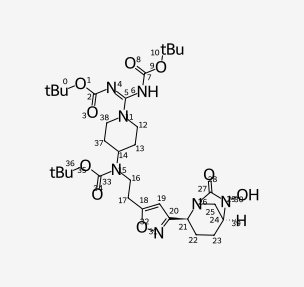 CC(C)(C)OC(=O)/N=C(/NC(=O)OC(C)(C)C)N1CCC(N(CCc2cc([C@@H]3CC[C@H]4CN3C(=O)N4O)no2)C(=O)OC(C)(C)C)CC1